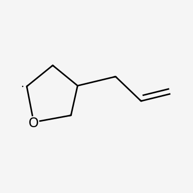 C=CCC1C[CH]OC1